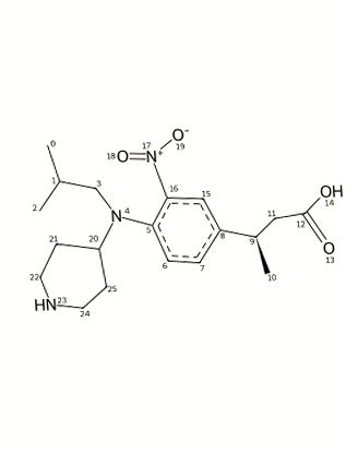 CC(C)CN(c1ccc([C@H](C)CC(=O)O)cc1[N+](=O)[O-])C1CCNCC1